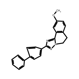 COc1ccc2c(c1)-c1nc(-c3ccc(-c4ccccc4)cc3)nn1CC2